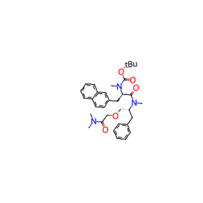 CN(C)C(=O)COC[C@@H](Cc1ccccc1)N(C)C(=O)[C@@H](Cc1ccc2ccccc2c1)N(C)C(=O)OC(C)(C)C